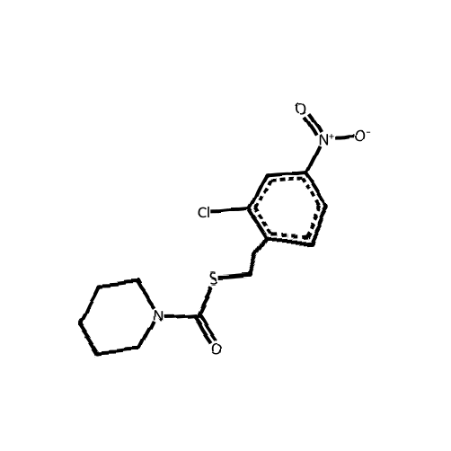 O=C(SCc1ccc([N+](=O)[O-])cc1Cl)N1CCCCC1